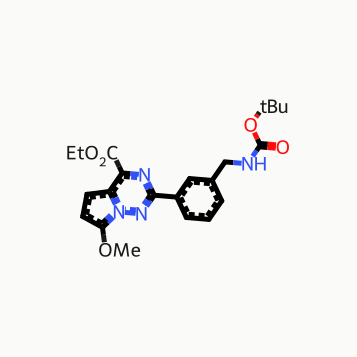 CCOC(=O)c1nc(-c2cccc(CNC(=O)OC(C)(C)C)c2)nn2c(OC)ccc12